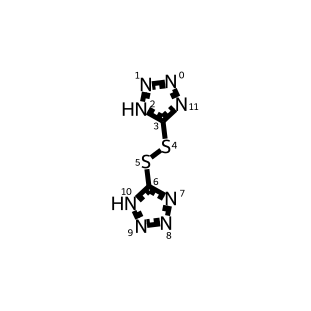 n1n[nH]c(SSc2nnn[nH]2)n1